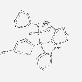 CC(C)c1ccc(S(c2ccccc2C(C)C)(c2ccccc2C(C)C)S(=O)(=O)Oc2ccccc2)cc1